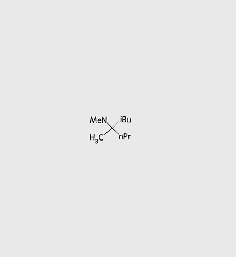 CCCC(C)(NC)[C@@H](C)CC